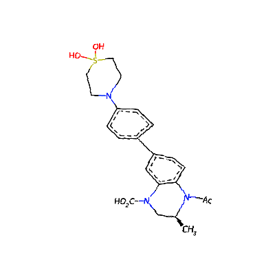 CC(=O)N1c2ccc(-c3ccc(N4CCS(O)(O)CC4)cc3)cc2N(C(=O)O)C[C@@H]1C